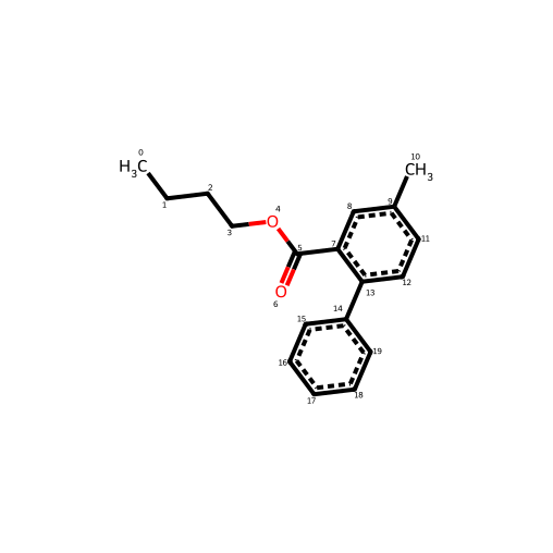 CCCCOC(=O)c1cc(C)ccc1-c1ccccc1